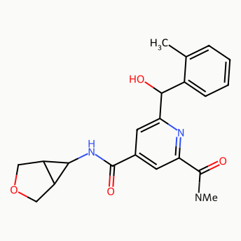 CNC(=O)c1cc(C(=O)NC2C3COCC32)cc(C(O)c2ccccc2C)n1